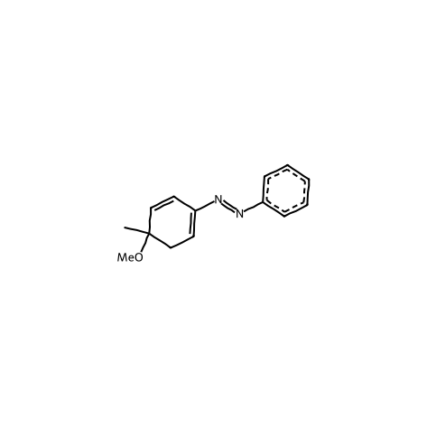 COC1(C)C=CC(N=Nc2ccccc2)=CC1